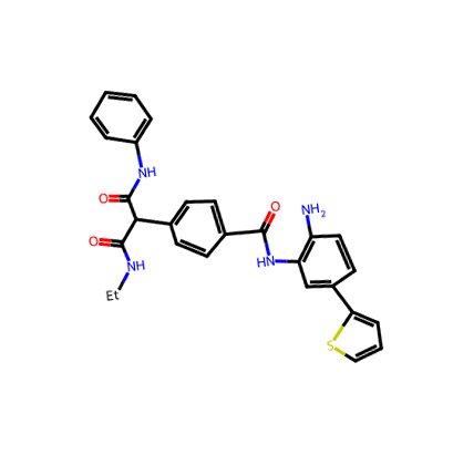 CCNC(=O)C(C(=O)Nc1ccccc1)c1ccc(C(=O)Nc2cc(-c3cccs3)ccc2N)cc1